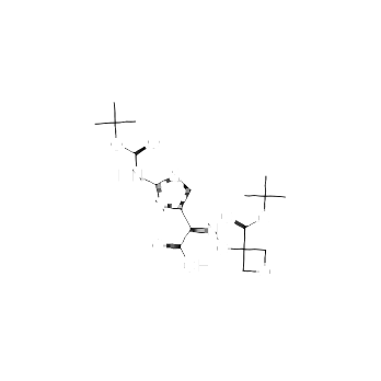 CC(C)(C)OC(=O)Nc1nc(C(=NOC2(C(=O)OC(C)(C)C)COC2)C(=O)O)cs1